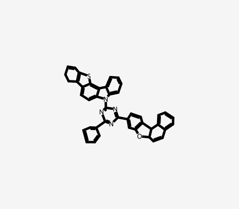 C1=Cc2sc3c(ccc4c3c3ccccc3n4-c3nc(-c4ccccc4)nc(-c4ccc5c(c4)OC4C=Cc6ccccc6C54)n3)c2CC1